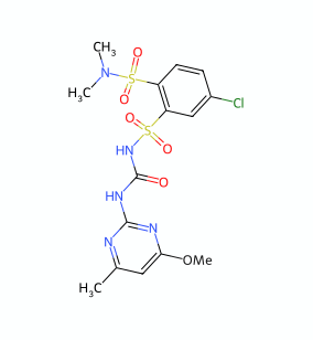 COc1cc(C)nc(NC(=O)NS(=O)(=O)c2cc(Cl)ccc2S(=O)(=O)N(C)C)n1